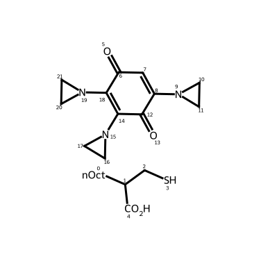 CCCCCCCCC(CS)C(=O)O.O=C1C=C(N2CC2)C(=O)C(N2CC2)=C1N1CC1